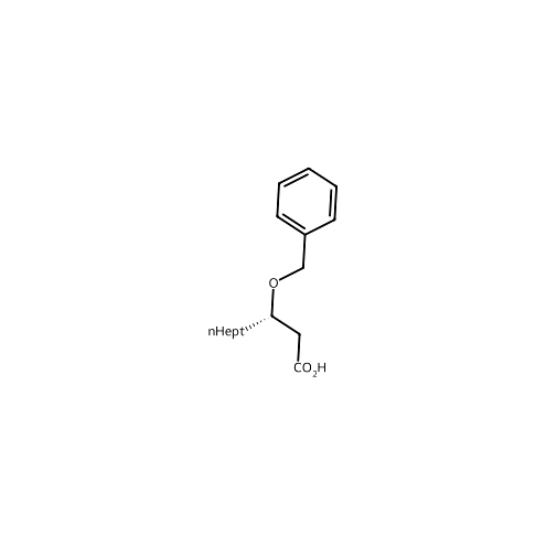 CCCCCCC[C@@H](CC(=O)O)OCc1ccccc1